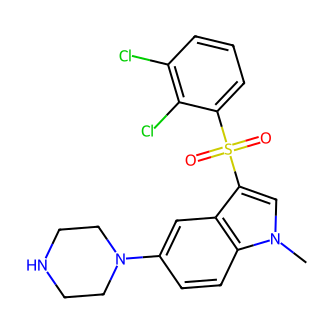 Cn1cc(S(=O)(=O)c2cccc(Cl)c2Cl)c2cc(N3CCNCC3)ccc21